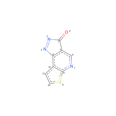 O=C1N=Nc2c1cnc1sccc21